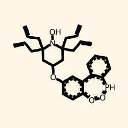 C=CCC1(CC=C)CC(Oc2ccc3oo[pH]c4ccccc4c3c2)CC(CC=C)(CC=C)N1O